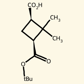 CC(C)(C)OC(=O)[C@H]1C[C@@H](C(=O)O)C1(C)C